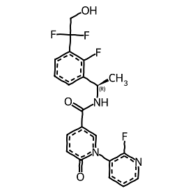 C[C@@H](NC(=O)c1ccc(=O)n(-c2cccnc2F)c1)c1cccc(C(F)(F)CO)c1F